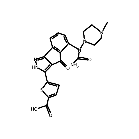 CN1CCN(N(C(N)=O)c2cccc3c2C(=O)c2c-3n[nH]c2-c2ccc(C(=O)O)s2)CC1